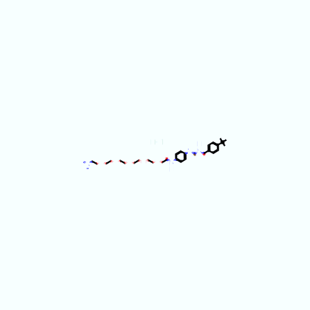 CN(C)CCOCCOCCOCCOCCOCC(=O)Nc1ccc(NC(=S)NC(=O)c2ccc(C(C)(C)C)cc2)cc1.Cl